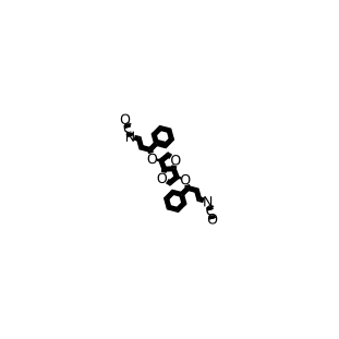 O=C=NCCC(O[C@H]1COC2C1OC[C@@H]2OC(CCN=C=O)C1CCCCC1)C1=CCCCC1